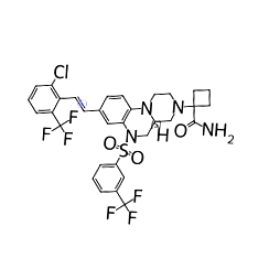 NC(=O)C1(N2CCN3c4ccc(/C=C/c5c(Cl)cccc5C(F)(F)F)cc4N(S(=O)(=O)c4cccc(C(F)(F)F)c4)C[C@@H]3C2)CCC1